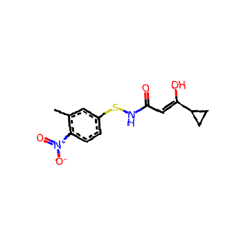 Cc1cc(SNC(=O)C=C(O)C2CC2)ccc1[N+](=O)[O-]